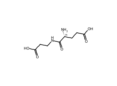 N[C@H](CCC(=O)O)C(=O)NCCC(=O)O